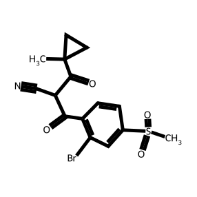 CC1(C(=O)C(C#N)C(=O)c2ccc(S(C)(=O)=O)cc2Br)CC1